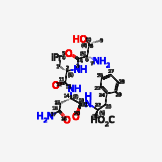 CC(C)C[C@H](NC(=O)[C@@H](N)[C@@H](C)O)C(=O)N[C@@H](CC(N)=O)C(=O)N[C@@H](Cc1ccccc1)C(=O)O